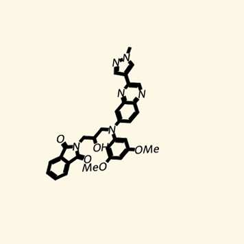 COc1cc(OC)cc(N(CC(O)CN2C(=O)c3ccccc3C2=O)c2ccc3ncc(-c4cnn(C)c4)nc3c2)c1